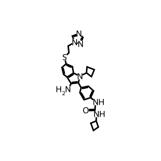 Nc1c(-c2ccc(NC(=O)NC3CCC3)cc2)n(C2CCC2)c2cc(SCCn3cncn3)ccc12